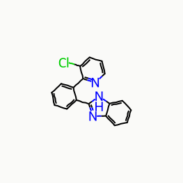 Clc1cccnc1-c1ccccc1-c1nc2ccccc2[nH]1